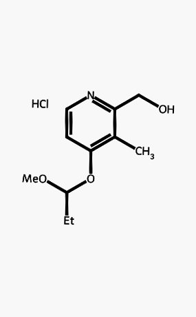 CCC(OC)Oc1ccnc(CO)c1C.Cl